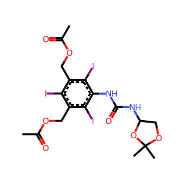 CC(=O)OCc1c(I)c(COC(C)=O)c(I)c(NC(=O)NC2COC(C)(C)O2)c1I